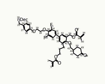 C=C(C)C(=O)OCCCc1cc(-c2cc(F)c(OCCOc3ccc(CCCCCCCCCCC)cc3)c(F)c2)cc(COC(=O)C(=C)C)c1OCC1CCC(=O)CC1